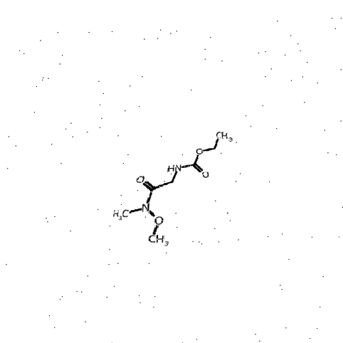 CCOC(=O)NCC(=O)N(C)OC